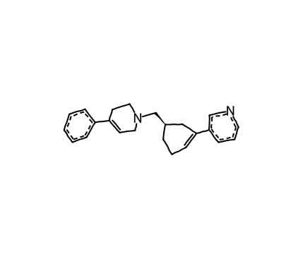 C1=C(c2ccccc2)CCN(C[C@@H]2CCC=C(c3cccnc3)C2)C1